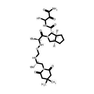 CCCC(NC(=O)[C@@H]1[C@H]2CCC[C@H]2CN1C(=O)[C@@H](NOCN[C@H](CN1C(=O)CC(C)(C)CC1=O)C(C)(C)C)C(C)(C)C)C(=O)C(N)=O